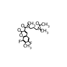 CC(=O)N(C)CCCN(C)C(=O)c1cc2cc(F)c(C)c(F)c2oc1=O